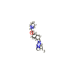 CN1CCN(CC2CCc3cc(OCCN4CCCCC4)ccc3C2)CC1